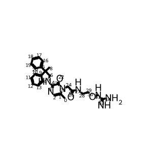 Cc1cnc(NCC(C)(c2ccccc2)c2ccccc2)c(=O)n1CC(=O)NCCONC(=N)N